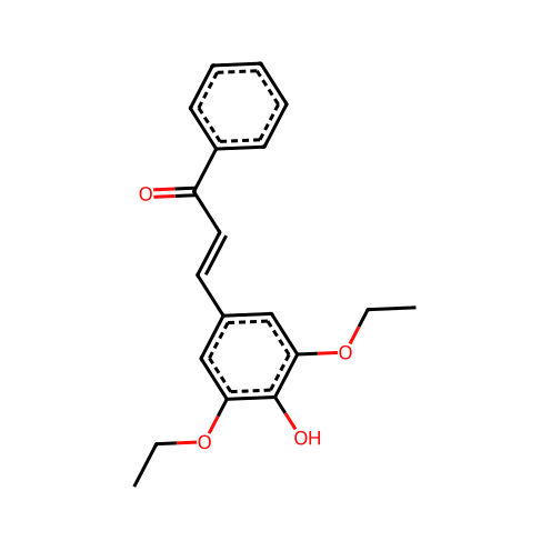 CCOc1cc(C=CC(=O)c2ccccc2)cc(OCC)c1O